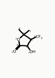 CC1(C)OC(=O)C(O)C1C(F)(F)F